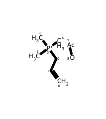 C=CC[P+](C)(C)C.CC(=O)[O-]